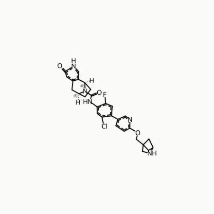 O=C(Nc1cc(Cl)c(-c2ccc(OCC34CNC(C3)C4)nc2)cc1F)N1[C@H]2CC[C@@H]1c1c[nH]c(=O)cc1C2